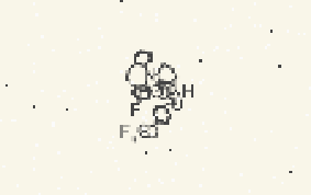 O=S(=O)(N[C@H]1CCCC(N2c3ccccc3CCc3cc(F)ccc32)[C@@H]1O)c1ccc(OC(F)(F)F)cc1